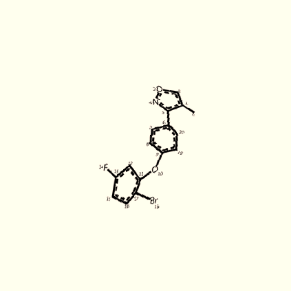 Cc1conc1-c1ccc(Oc2cc(F)ccc2Br)cc1